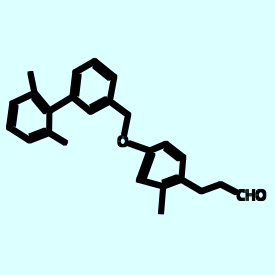 Cc1cc(OCc2cccc(-c3c(C)cccc3C)c2)ccc1CCC=O